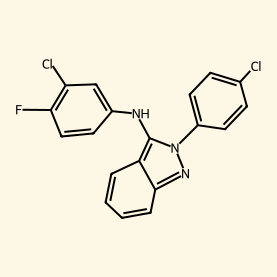 Fc1ccc(Nc2c3ccccc3nn2-c2ccc(Cl)cc2)cc1Cl